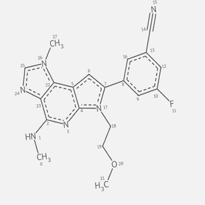 CNc1nc2c(cc(-c3cc(F)cc(C#N)c3)n2CCOC)c2c1ncn2C